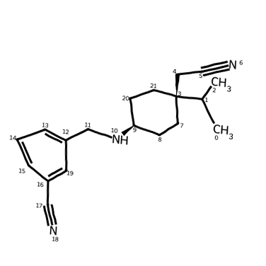 CC(C)[C@]1(CC#N)CC[C@@H](NCc2cccc(C#N)c2)CC1